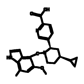 COc1cc(C)c2[nH]ccc2c1CN1CC[C@H](C2CC2)C[C@H]1c1ccc(C(=O)O)nc1